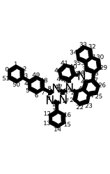 c1ccc(-c2ccc(-c3nc(-c4ccccc4)nc(-n4c5cccc6ccc7c8ccc9ccccc9c8n(c8ccccc84)c7c65)n3)cc2)cc1